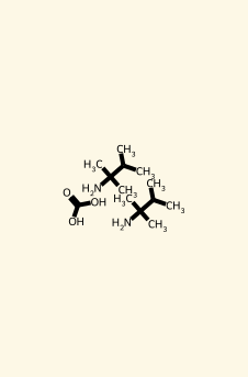 CC(C)C(C)(C)N.CC(C)C(C)(C)N.O=C(O)O